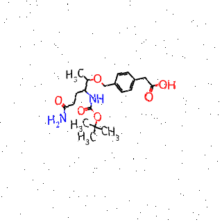 CC(OCc1ccc(CC(=O)O)cc1)C(CCC(N)=O)NC(=O)OC(C)(C)C